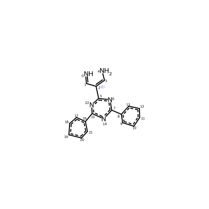 N=C/C(=C\N)c1nc(-c2ccccc2)nc(-c2ccccc2)n1